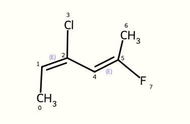 C/C=C(Cl)\C=C(/C)F